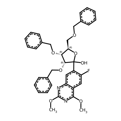 COc1nc(OC)c2cc(F)c(C3(O)O[C@H](COCc4ccccc4)[C@@H](OCc4ccccc4)[C@H]3OCc3ccccc3)cc2n1